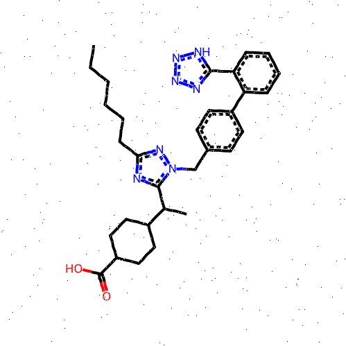 CCCCCCc1nc(C(C)C2CCC(C(=O)O)CC2)n(Cc2ccc(-c3ccccc3-c3nnn[nH]3)cc2)n1